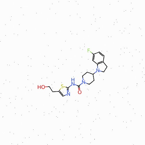 O=C(Nc1ncc(CCO)s1)N1CCC(N2CCc3ccc(F)cc32)CC1